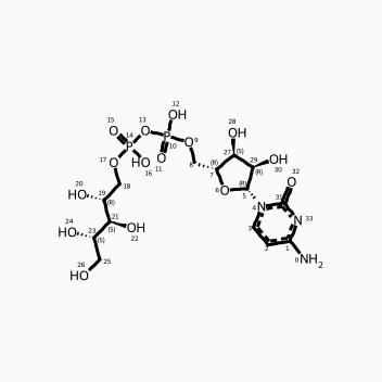 Nc1ccn([C@@H]2O[C@H](COP(=O)(O)OP(=O)(O)OC[C@@H](O)[C@@H](O)[C@@H](O)CO)[C@@H](O)[C@H]2O)c(=O)n1